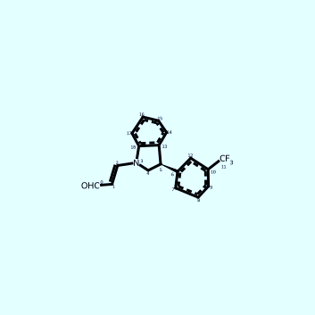 O=CC=CN1C[C@H](c2cccc(C(F)(F)F)c2)c2ccccc21